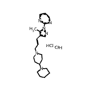 Cc1c(/C=C/CN2CCC(N3CCCCC3)CC2)cnn1-c1ncccn1.Cl.Cl